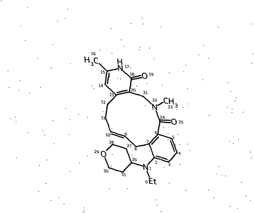 CCN(c1cccc2c1C/C=C/CCc1cc(C)[nH]c(=O)c1CN(C)C2=O)C1CCOCC1